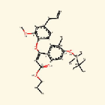 C=CCc1ccc(OC(=CC(=O)OCCC)c2ccc(O[Si](C)(C)C(C)(C)C)c(C)c2)c(OC)c1